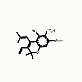 C=CC1=C(C=C(C)C)c2c(cc(CCCCC)c(C(=O)O)c2O)OC1(C)C